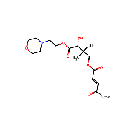 COC(=O)/C=C/C(=O)OCC(C)(C)[C@@H](O)C(=O)OCCN1CCOCC1